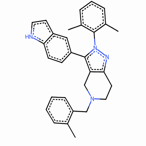 Cc1ccccc1CN1CCc2nn(-c3c(C)cccc3C)c(-c3ccc4[nH]ccc4c3)c2C1